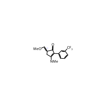 CNC1=C(c2cccc(C(F)(F)F)c2)C(=O)/C(=C/OC)C1